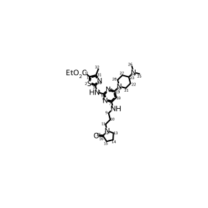 CCOC(=O)c1sc(Nc2nc(NCCCN3CCCC3=O)cc(N3CCC(N(C)C)CC3)n2)nc1C